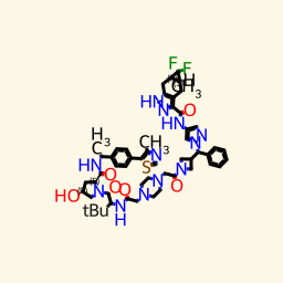 Cc1ncsc1-c1ccc(C(C)NC(=O)[C@@H]2C[C@@H](O)CN2C(=O)C(NC(=O)CN2CCN(CC(=O)N3CC(C(c4ccccc4)n4cc(NC(=O)c5n[nH]c6c5C[C@@H]5C(F)(F)[C@]5(C)C6)cn4)C3)CC2)C(C)(C)C)cc1